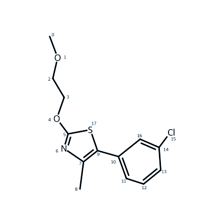 COCCOc1nc(C)c(-c2cccc(Cl)c2)s1